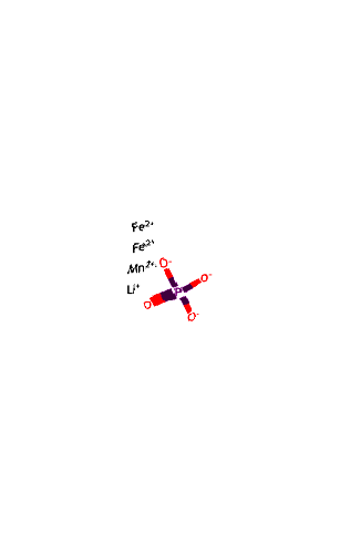 O=P([O-])([O-])[O-].[Fe+2].[Fe+2].[Li+].[Mn+2]